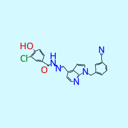 N#Cc1cccc(Cn2ccc3c(/C=N/NC(=O)c4ccc(O)c(Cl)c4)ccnc32)c1